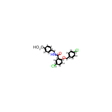 O=C(O)c1ccc(CNC(=O)c2cc(Cl)ccc2OCc2ccc(Cl)cc2)cc1